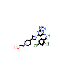 C[C@@H](Nc1cc(N2CC(C3CCN(CCO)CC3)C2)nc2ncnn12)c1ccc(Cl)cc1Cl